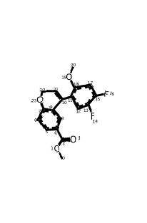 COC(=O)c1ccc2c(c1)C(c1cc(F)c(F)cc1OC)=CCO2